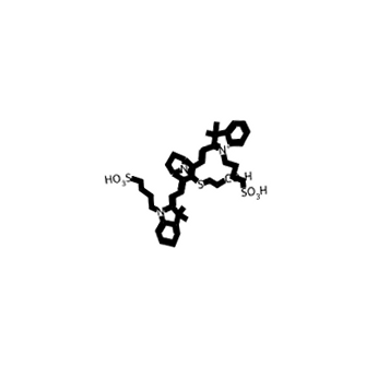 CN1C2CCC1/C(=C\C=C1\N(CCCCS(=O)(=O)O)c3ccccc3C1(C)C)C(SCCC(=O)O)=C2/C=C/C1=[N+](CCCCS(=O)(=O)O)c2ccccc2C1(C)C